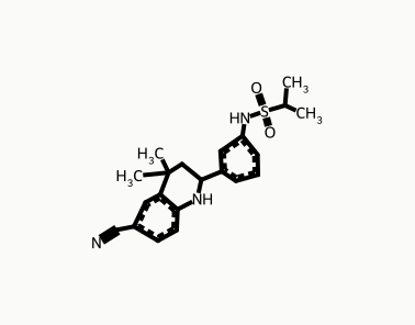 CC(C)S(=O)(=O)Nc1cccc(C2CC(C)(C)c3cc(C#N)ccc3N2)c1